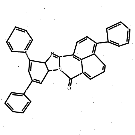 O=c1c2cccc3c(-c4ccccc4)ccc(c4n1C1C=C(c5ccccc5)C=C(c5ccccc5)C1N=4)c32